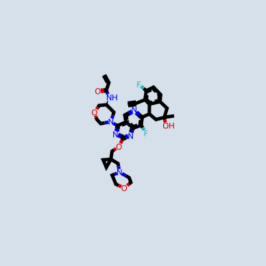 C#Cc1c(F)ccc2c1C(c1ncc3c(N4CCOC[C@H](NC(=O)C=C)C4)nc(OCC4(CN5CCOCC5)CC4)nc3c1F)CC(C)(O)C2